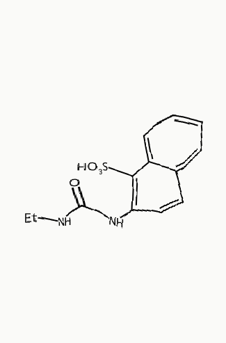 CCNC(=O)Nc1ccc2ccccc2c1S(=O)(=O)O